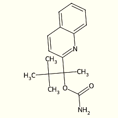 CC(C)(C)C(C)(OC(N)=O)c1ccc2ccccc2n1